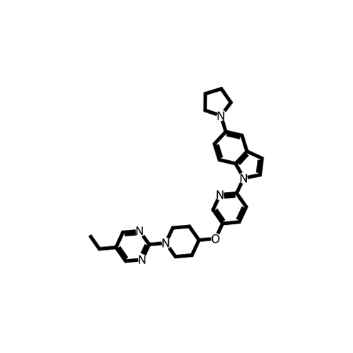 CCc1cnc(N2CCC(Oc3ccc(-n4ccc5cc(N6CCCC6)ccc54)nc3)CC2)nc1